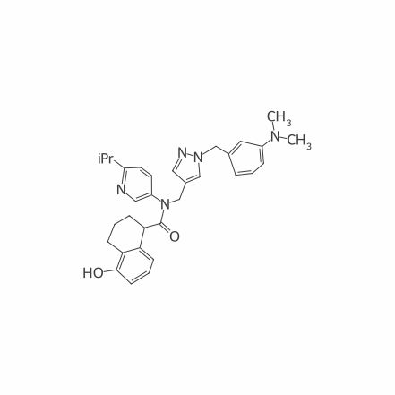 CC(C)c1ccc(N(Cc2cnn(Cc3cccc(N(C)C)c3)c2)C(=O)C2CCCc3c(O)cccc32)cn1